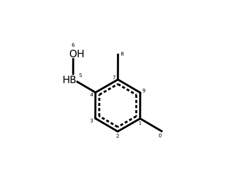 Cc1ccc(BO)c(C)c1